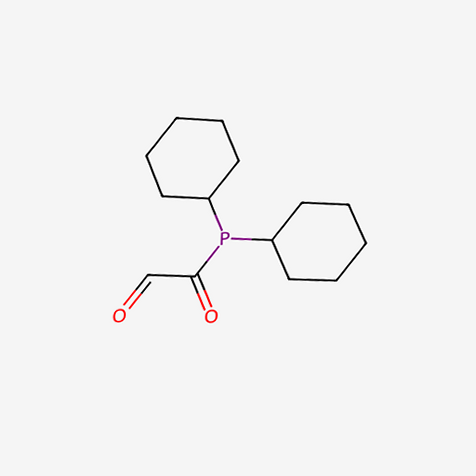 O=CC(=O)P(C1CCCCC1)C1CCCCC1